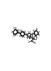 CC(C)C1Oc2ccccc2C2CC(c3ccc(-c4ccccc4)cc3)=NN21